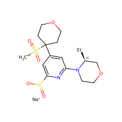 CC[C@H]1COCCN1c1cc(C2(S(C)(=O)=O)CCOCC2)cc(S(=O)[O-])n1.[Na+]